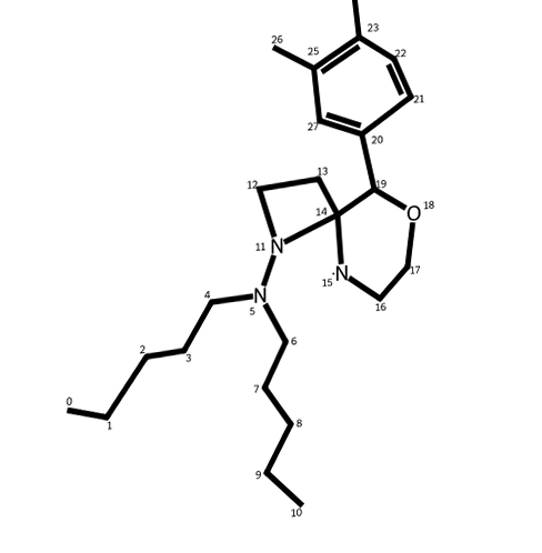 CCCCCN(CCCCC)N1CCC12[N]CCOC2c1ccc(C)c(C)c1